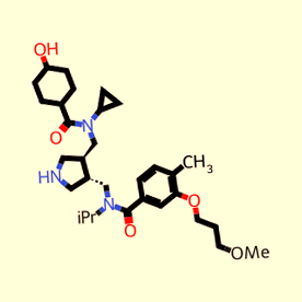 COCCCOc1cc(C(=O)N(C[C@@H]2CNC[C@H]2CN(C(=O)C2CCC(O)CC2)C2CC2)C(C)C)ccc1C